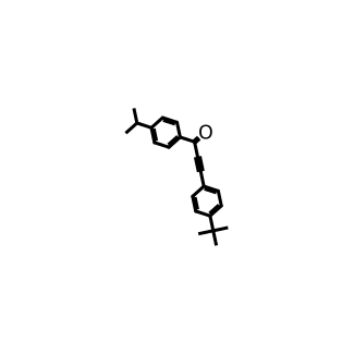 CC(C)c1ccc(C(=O)C#Cc2ccc(C(C)(C)C)cc2)cc1